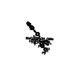 COC(=O)NC(C(=O)N[C@@H](Cc1ccc(C#Cc2ccc(N3CC4CCC(C3)N4C3COC3)nc2)cc1)[C@@H](O)CN(Cc1c(F)cc(/C(C=N)=C/NC(F)F)cc1F)NC(=O)[C@@H](NC(=O)OC)C(C)(C)CF)C(C)(C)CF